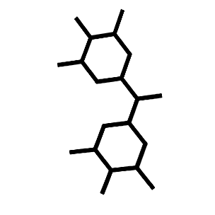 CC1CC(C(C)C2CC(C)C(C)C(C)C2)CC(C)C1C